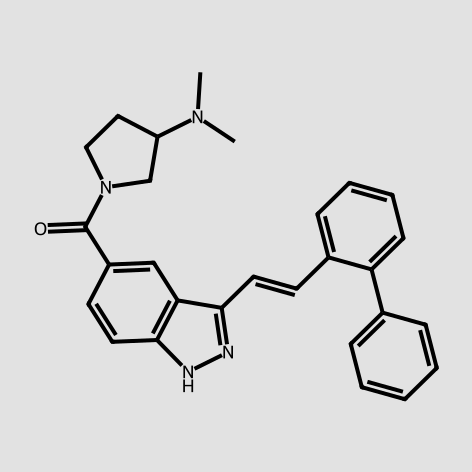 CN(C)C1CCN(C(=O)c2ccc3[nH]nc(C=Cc4ccccc4-c4ccccc4)c3c2)C1